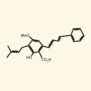 COc1cc(/C=C/C=C/c2ccccc2)c(C(=O)O)c(O)c1CC=C(C)C